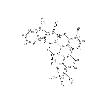 C[C@H]1CC[C@H](N(Cc2cc(-c3ccc(C(=O)C(F)(F)F)cc3)ccc2F)C(=O)c2sc3ccccc3c2Cl)CC1